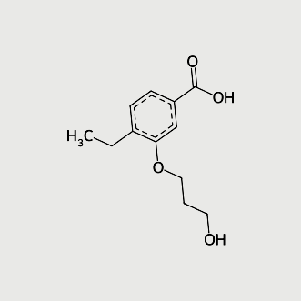 CCc1ccc(C(=O)O)cc1OCCCO